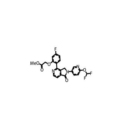 COC(=O)COc1cc(F)ccc1-c1nccc2c1CN(c1ccc(OC(F)F)nc1)C2=O